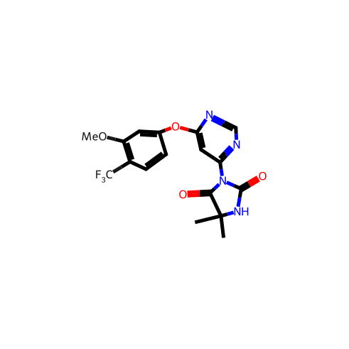 COc1cc(Oc2cc(N3C(=O)NC(C)(C)C3=O)ncn2)ccc1C(F)(F)F